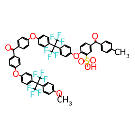 COc1ccc(C(c2ccc(Oc3ccc(C(=O)c4ccc(Oc5ccc(C(c6ccc(Oc7ccc(C(=O)c8ccc(C)cc8)cc7S(=O)(=O)O)cc6)(C(F)(F)F)C(F)(F)F)cc5)cc4)cc3)cc2)(C(F)(F)F)C(F)(F)F)cc1